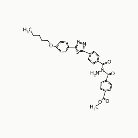 CCCCCOc1ccc(-c2nnc(-c3ccc(C(=O)N(N)C(=O)c4ccc(C(=O)OC)cc4)cc3)s2)cc1